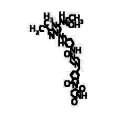 CC[C@@H](CO)Nc1cc(NCc2ccc(NC(=O)N3CCN(Cc4ccc5c(c4)CN(C4CCC(=O)NC4=O)C5=O)CC3)cc2)n2ncc(C(C)C)c2n1